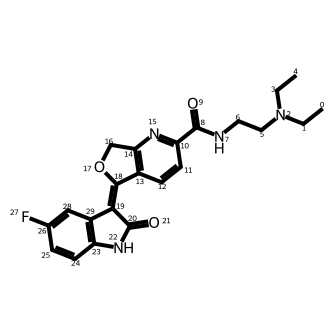 CCN(CC)CCNC(=O)c1ccc2c(n1)CO/C2=C1/C(=O)Nc2ccc(F)cc21